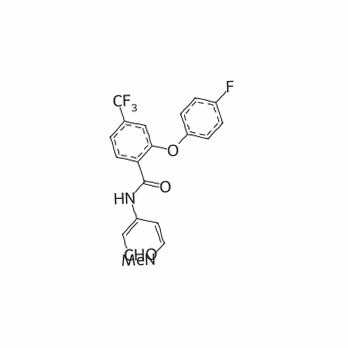 CN/C=C\C(=C/C=O)NC(=O)c1ccc(C(F)(F)F)cc1Oc1ccc(F)cc1